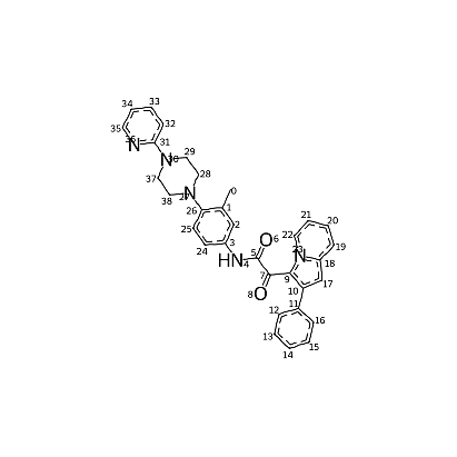 Cc1cc(NC(=O)C(=O)c2c(-c3ccccc3)cc3ccccn23)ccc1N1CCN(c2ccccn2)CC1